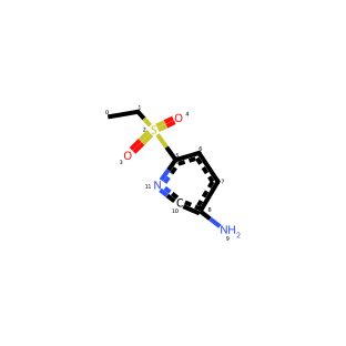 CCS(=O)(=O)c1ccc(N)cn1